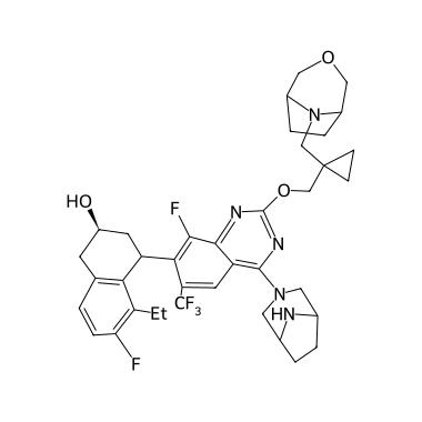 CCc1c(F)ccc2c1C(c1c(C(F)(F)F)cc3c(N4CC5CCC(C4)N5)nc(OCC4(CN5C6CCC5COC6)CC4)nc3c1F)C[C@H](O)C2